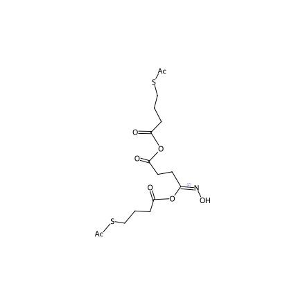 CC(=O)SCCCC(=O)OC(=O)CC/C(=N/O)OC(=O)CCCSC(C)=O